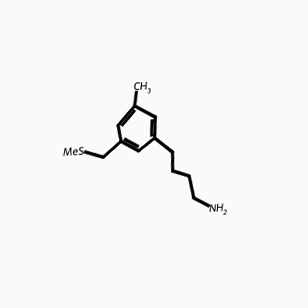 CSCc1cc(C)cc(CCCCN)c1